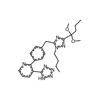 CCCCn1nc(C(CCC)(OC)OC)nc1Cc1ccc(-c2ncccc2-c2nnn[nH]2)cc1